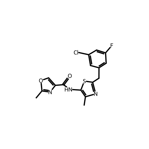 Cc1nc(C(=O)Nc2sc(Cc3cc(F)cc(Cl)c3)nc2C)co1